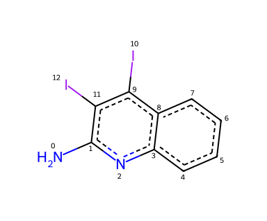 Nc1nc2ccccc2c(I)c1I